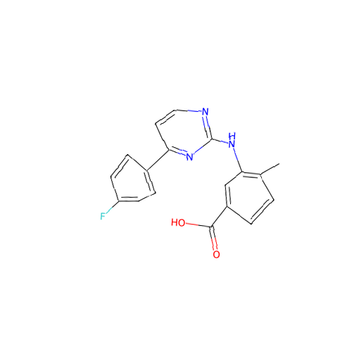 Cc1ccc(C(=O)O)cc1Nc1nccc(-c2ccc(F)cc2)n1